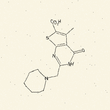 Cc1c(C(=O)O)sc2nc(CN3CCCCC3)[nH]c(=O)c12